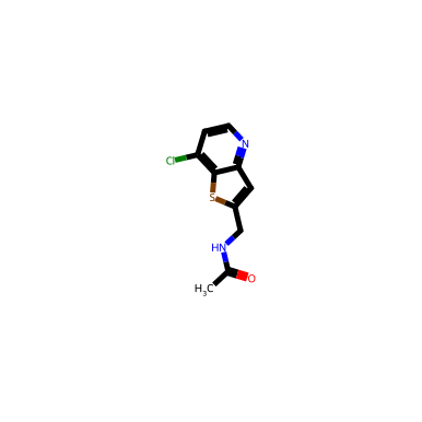 CC(=O)NCc1cc2nccc(Cl)c2s1